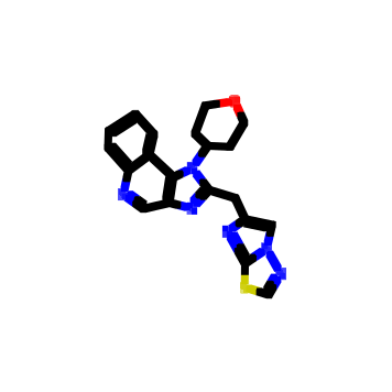 c1ccc2c(c1)ncc1nc(Cc3cn4ncsc4n3)n(C3CCOCC3)c12